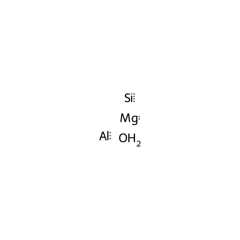 O.[Al].[Mg].[Si]